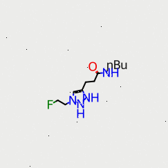 CCCCNC(=O)CCC1=CN(CCF)NN1